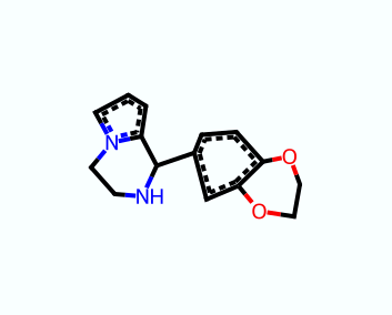 c1cc2n(c1)CCNC2c1ccc2c(c1)OCCO2